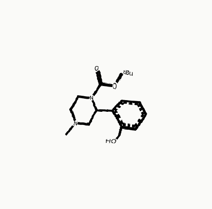 CN1CCN(C(=O)OC(C)(C)C)C(c2ccccc2O)C1